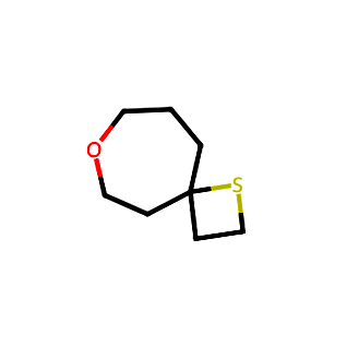 C1COCCC2(C1)CCS2